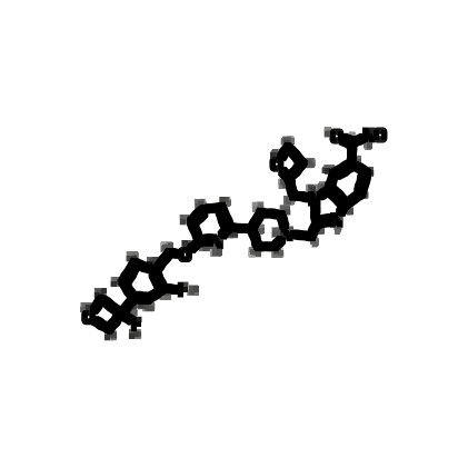 O=NC(=O)c1ccc2nc(CN3CCC(c4cccc(OCc5ccc(C6(F)COC6)cc5F)n4)CC3)n(CC3CCO3)c2c1